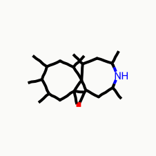 CC1CC(C)C2(C(C)CC(C)N1)C(C)CC(C)C(C)C(C)CC2(C)C